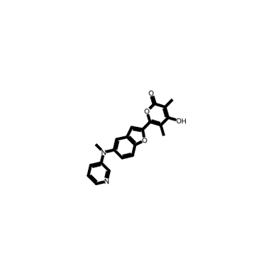 Cc1c(-c2cc3cc(N(C)c4cccnc4)ccc3o2)oc(=O)c(C)c1O